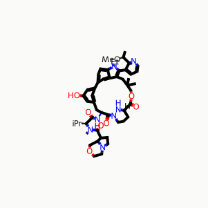 CCn1c(-c2cccnc2[C@H](C)OC)c2c3cc(ccc31)-c1cc(O)cc(c1)C[C@H](NC(=O)[C@H](C(C)C)N(C)C(=O)C1CCN3CCOCC13)C(=O)N1CCC[C@H](N1)C(=O)OCC(C)(C)C2